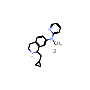 CN(c1ccc2c(c1)C(CC1CC1)NCC2)c1ccccn1.Cl